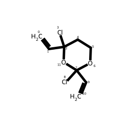 C=CC1(Cl)CCOC(Cl)(C=C)O1